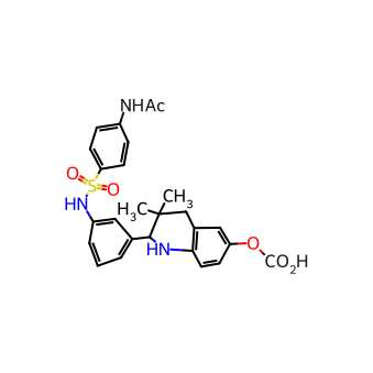 CC(=O)Nc1ccc(S(=O)(=O)Nc2cccc(C3Nc4ccc(OC(=O)O)cc4CC3(C)C)c2)cc1